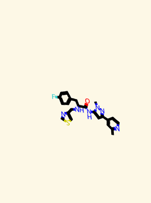 Cc1cc(-c2cc(NC(=O)C(Cc3ccc(F)cc3)NCc3cscn3)n(C)n2)ccn1